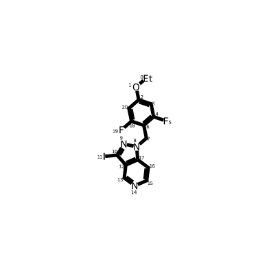 CCOc1cc(F)c(Cn2nc(I)c3cnccc32)c(F)c1